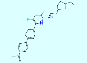 C=C(C)c1ccc(C2=CC=C(c3nc(/C=C/CC4CCC(CC)C4)c(C)cc3F)CC2)cc1